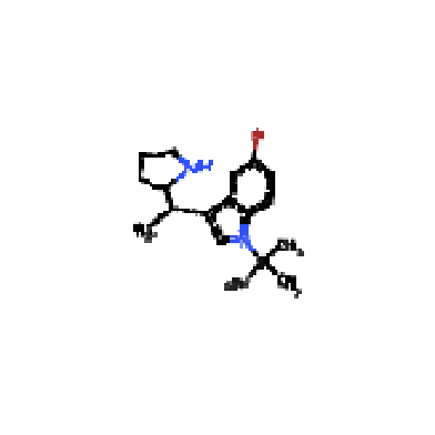 CC(c1cn([Si](C)(C)C(C)(C)C)c2ccc(Br)cc12)C1CCCN1